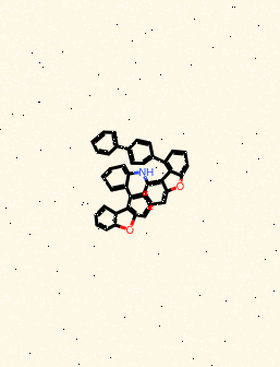 C1=CC2Oc3cccc(-c4ccccc4Nc4cccc5oc6cccc(-c7ccc(-c8ccccc8)cc7)c6c45)c3C2C=C1